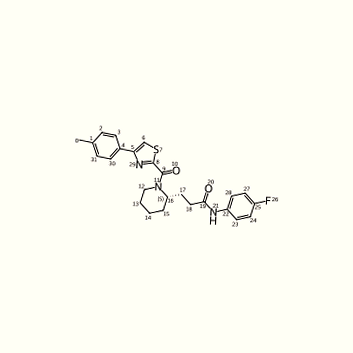 Cc1ccc(-c2csc(C(=O)N3CCCC[C@H]3CCC(=O)Nc3ccc(F)cc3)n2)cc1